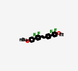 CCCCOC1CCC(c2ccc(/C=C/c3ccc(-c4ccc(OCC)c(F)c4F)cc3)c(F)c2F)CC1